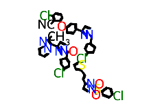 Cc1nc2ccccn2c1-c1ccn(C(=O)c2ccc(Cl)cc2)n1.N#Cc1c(Cl)cccc1Oc1ccc(-c2ccn(Cc3ccc(Cl)cc3)n2)cc1.O=S(=O)(c1ccc(Cl)cc1)n1ccc(C=Cc2cccs2)n1